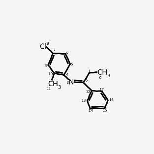 CC/C(=N\c1ccc(Cl)cc1C)c1ccccc1